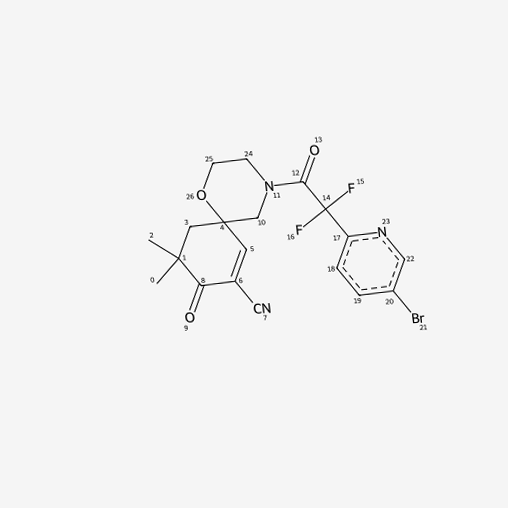 CC1(C)CC2(C=C(C#N)C1=O)CN(C(=O)C(F)(F)c1ccc(Br)cn1)CCO2